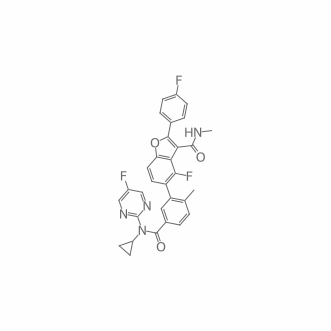 CNC(=O)c1c(-c2ccc(F)cc2)oc2ccc(-c3cc(C(=O)N(c4ncc(F)cn4)C4CC4)ccc3C)c(F)c12